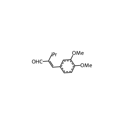 COc1ccc(/C=C(/C=O)C(C)C)cc1OC